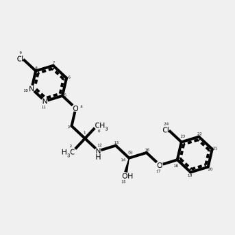 CC(C)(COc1ccc(Cl)nn1)NC[C@H](O)COc1ccccc1Cl